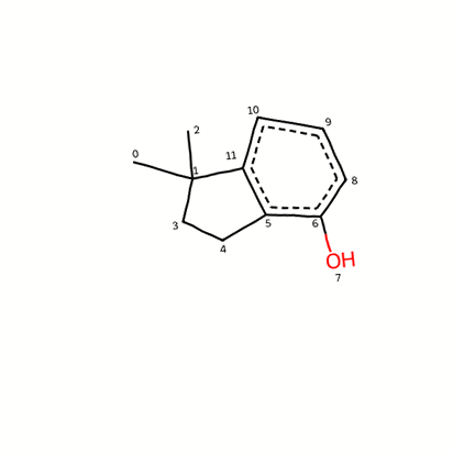 CC1(C)CCc2c(O)cccc21